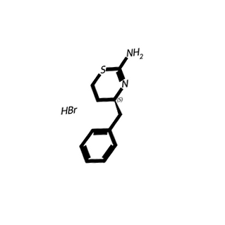 Br.NC1=N[C@@H](Cc2ccccc2)CCS1